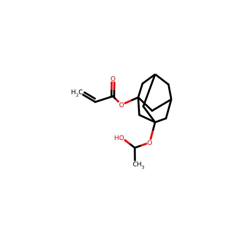 C=CC(=O)OC12CC3CC(C1)CC(OC(C)O)(C3)C2